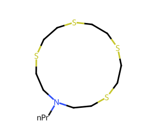 CCCN1CCSCCSCCSCCSCC1